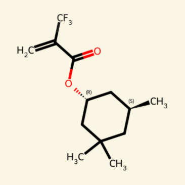 C=C(C(=O)O[C@@H]1C[C@@H](C)CC(C)(C)C1)C(F)(F)F